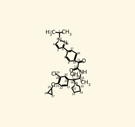 CC(C)n1ccc(-c2ccc(C(=O)C(=O)N[C@H](C)[C@](O)(c3ccc(OC4CC4)c(Cl)c3)N3CCCC3)cc2)n1